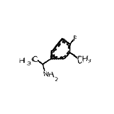 Cc1cc(C(C)N)ccc1F